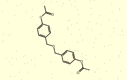 CC(=O)Oc1ccc(COCc2ccc(OC(C)=O)cc2)cc1